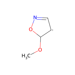 COC1[C]C=NO1